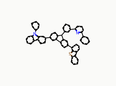 c1ccc(-c2cccc(-c3cccc(C4c5ccc(-c6ccc7c8ccccc8n(-c8ccccc8)c7c6)cc5-c5ccc(-c6cccc7c6sc6ccccc67)cc54)c3)n2)cc1